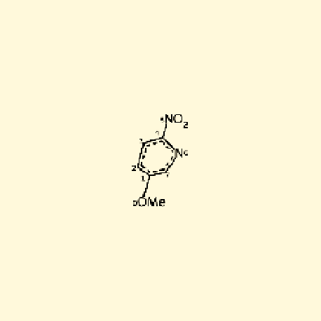 COc1ccc([N+](=O)[O-])nc1